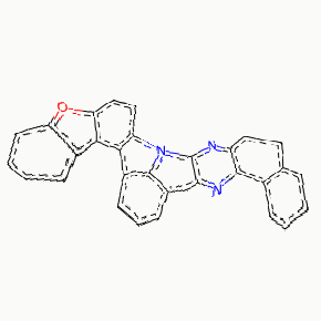 c1ccc2c(c1)ccc1nc3c(nc12)c1cccc2c4c5c(ccc4n3c12)oc1ccccc15